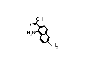 Nc1ccc2c(N)c(C(=O)O)ccc2c1